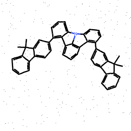 CC1(C)c2ccccc2-c2ccc(-c3cccc4c3c3cccc5c6c(-c7ccc8c(c7)C(C)(C)c7ccccc7-8)cccc6n4c35)cc21